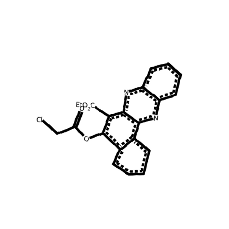 CCOC(=O)c1c(OC(=O)CCl)c2ccccc2c2nc3ccccc3nc12